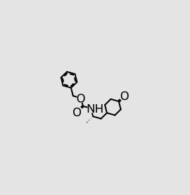 C[C@@H](CC1CCC(=O)CC1)NC(=O)OCc1ccccc1